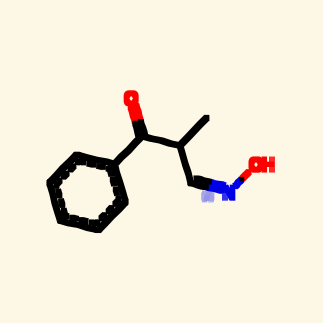 CC(/C=N\O)C(=O)c1ccccc1